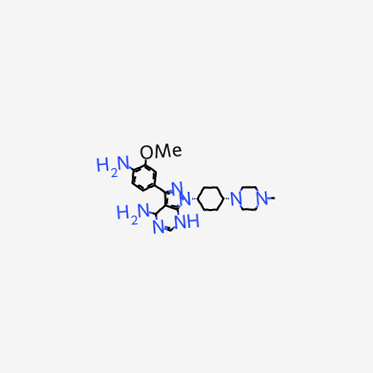 COc1cc(-c2nn([C@H]3CC[C@@H](N4CCN(C)CC4)CC3)c3c2C(N)N=CN3)ccc1N